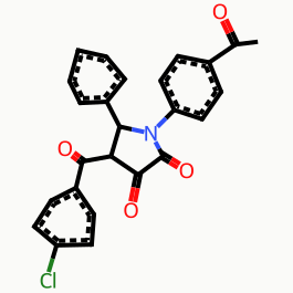 CC(=O)c1ccc(N2C(=O)C(=O)C(C(=O)c3ccc(Cl)cc3)C2c2ccccc2)cc1